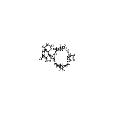 C1=Cc2cc3ccc(cc4nc(cc5ccc(cc1n2)[nH]5)CC4)[nH]3.CNC(C)Cc1ccccc1